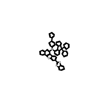 c1ccc(-c2ccc(N(c3cccc4c3-c3ccccc3C4(c3ccccc3)c3ccccc3)c3cc4ccccc4c4oc5cc(-c6nc7ccccc7o6)ccc5c34)cc2)cc1